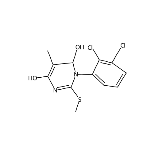 CSC1=NC(O)=C(C)C(O)N1c1cccc(Cl)c1Cl